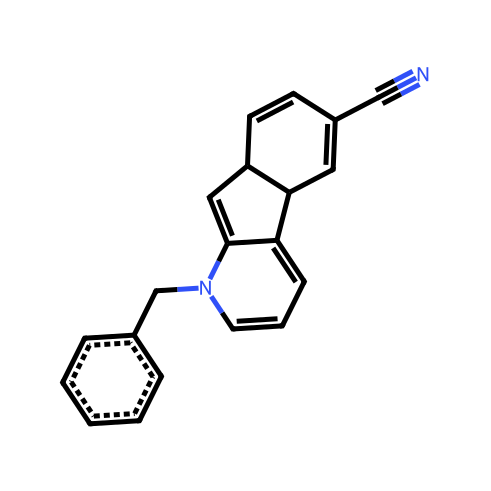 N#CC1=CC2C3=CC=CN(Cc4ccccc4)C3=CC2C=C1